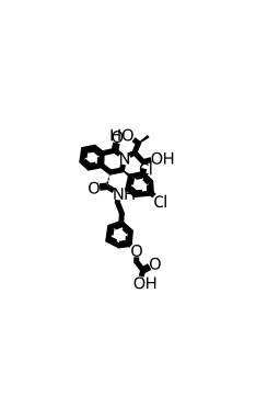 C[C@H](O)C(CO)N1C(=O)c2ccccc2[C@@H](C(=O)NCCc2cccc(OCC(=O)O)c2)[C@@H]1c1ccc(Cl)cc1Cl